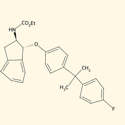 CCOC(=O)N[C@@H]1Cc2ccccc2[C@H]1Oc1ccc(C(C)(C)c2ccc(F)cc2)cc1